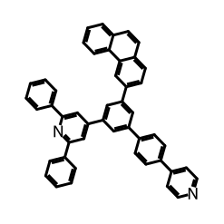 c1ccc(-c2cc(-c3cc(-c4ccc(-c5ccncc5)cc4)cc(-c4ccc5ccc6ccccc6c5c4)c3)cc(-c3ccccc3)n2)cc1